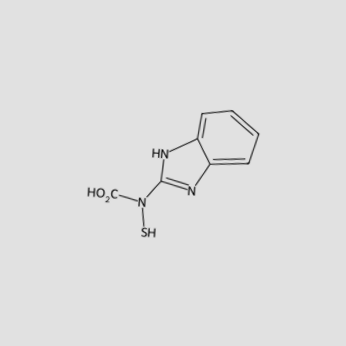 O=C(O)N(S)c1nc2ccccc2[nH]1